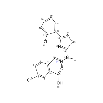 CN(/N=C/c1ccc(Cl)cc1C(=O)O)c1nc(-c2ccccc2Cl)ns1